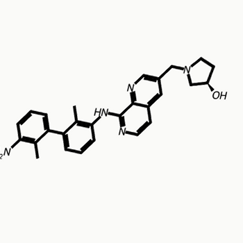 Cc1c(N)cccc1-c1cccc(Nc2nccc3cc(CN4CC[C@@H](O)C4)cnc23)c1C